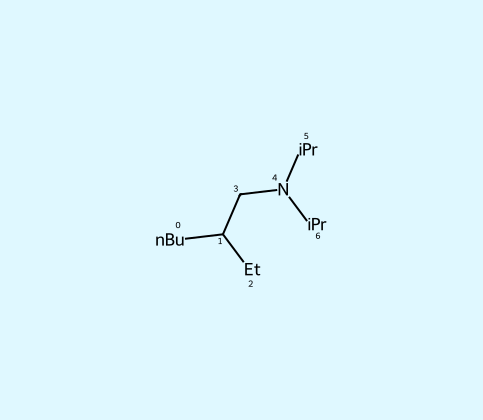 CCCCC(CC)CN(C(C)C)C(C)C